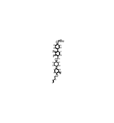 C=CCCOc1ccc(C2CCC(OCc3ccc(-c4ccc(OCCCC)cc4)c(F)c3F)CC2)cc1F